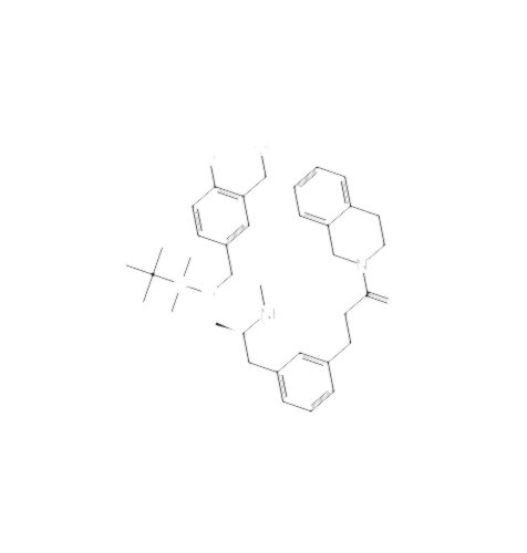 C[C@H](Cc1cccc(CCC(=O)N2CCc3ccccc3C2)c1)NC[C@H](O[Si](C)(C)C(C)(C)C)c1ccc(O)c(CO)c1